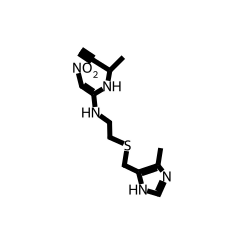 C#CC(C)NC(=C[N+](=O)[O-])NCCSCc1[nH]cnc1C